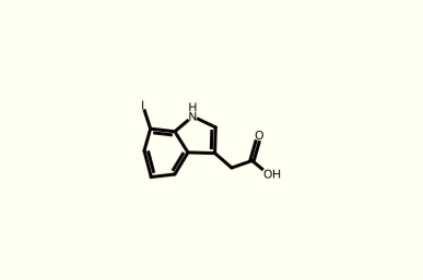 O=C(O)Cc1c[nH]c2c(I)cccc12